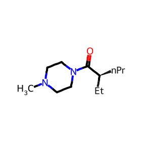 CCC[C@@H](CC)C(=O)N1CCN(C)CC1